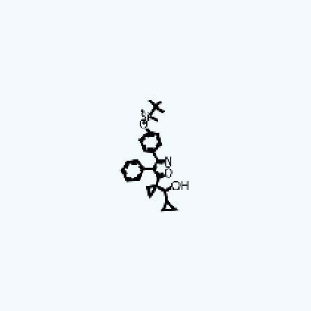 CC(C)(C)[Si](C)(C)Oc1ccc(-c2noc(C3(C(O)C4CC4)CC3)c2-c2ccccc2)cc1